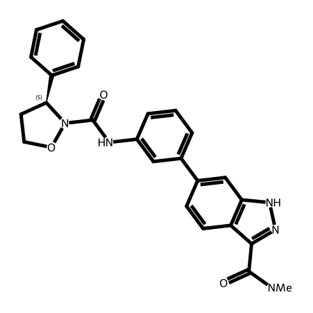 CNC(=O)c1n[nH]c2cc(-c3cccc(NC(=O)N4OCC[C@H]4c4ccccc4)c3)ccc12